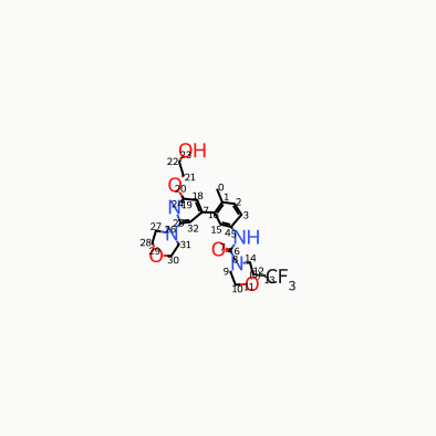 Cc1ccc(NC(=O)N2CCO[C@H](C(F)(F)F)C2)cc1-c1cc(OCCO)nc(N2CCOCC2)c1